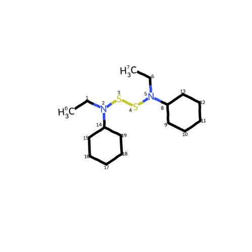 CCN(SSN(CC)C1CCCCC1)C1CCCCC1